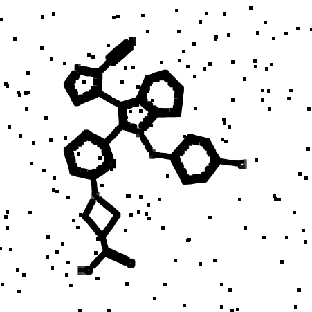 N#Cc1sccc1-c1c(-c2cccc(N3CC(C(=O)O)C3)n2)n(Sc2ccc(Cl)cc2)c2ccccc12